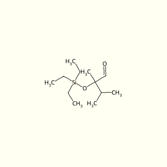 CC[Si](CC)(CC)OC(C)(C=O)C(C)C